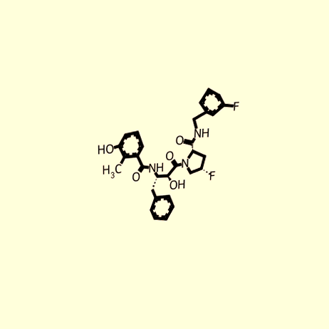 Cc1c(O)cccc1C(=O)N[C@@H](Cc1ccccc1)[C@H](O)C(=O)N1C[C@@H](F)C[C@H]1C(=O)NCc1cccc(F)c1